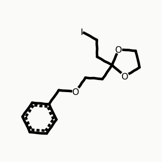 ICCC1(CCOCc2ccccc2)OCCO1